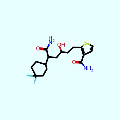 NC(=O)c1ccsc1C[CH]C(O)CC(C(N)=O)C1CCC(F)(F)CC1